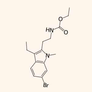 CCOC(=O)NCCc1c(CC)c2ccc(Br)cc2n1C